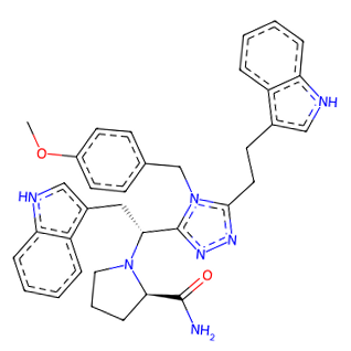 COc1ccc(Cn2c(CCc3c[nH]c4ccccc34)nnc2[C@@H](Cc2c[nH]c3ccccc23)N2CCC[C@@H]2C(N)=O)cc1